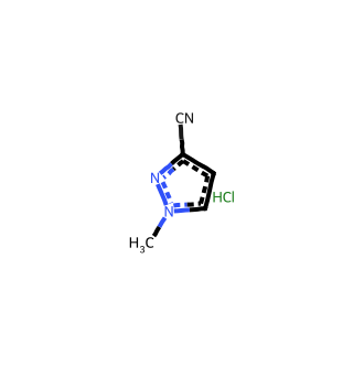 Cl.Cn1ccc(C#N)n1